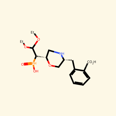 CCOC(OCC)C([C@@H]1CN[C@H](Cc2ccccc2C(=O)O)CO1)[PH](=O)O